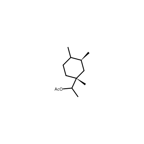 CC(=O)OC(C)[C@]1(C)CCC(C)[C@@H](C)C1